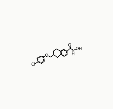 O=C(NO)c1ccc2c(c1)CCC(COc1ccc(Cl)cc1)C2